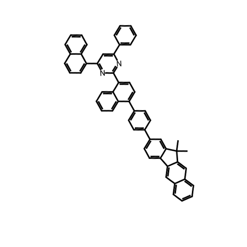 CC1(C)c2cc(-c3ccc(-c4ccc(-c5nc(-c6ccccc6)cc(-c6cccc7ccccc67)n5)c5ccccc45)cc3)ccc2-c2cc3ccccc3cc21